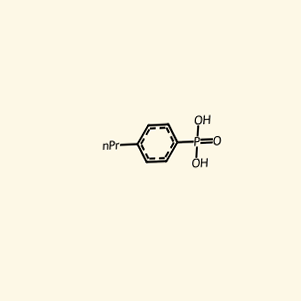 CCCc1ccc(P(=O)(O)O)cc1